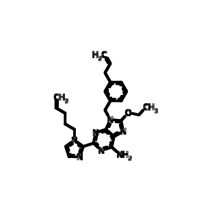 C=CCCCn1ccnc1-c1nc(N)c2nc(OCC)n(Cc3cccc(CC=C)c3)c2n1